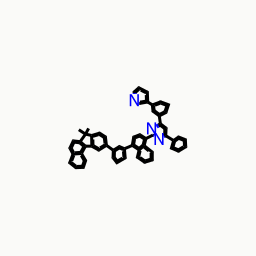 CC1(C)c2ccc(-c3cccc(-c4ccc(-c5nc(-c6ccccc6)cc(-c6cccc(-c7cccnc7)c6)n5)c5ccccc45)c3)cc2-c2c1ccc1ccccc21